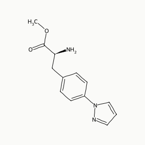 COC(=O)[C@@H](N)Cc1ccc(-n2cccn2)cc1